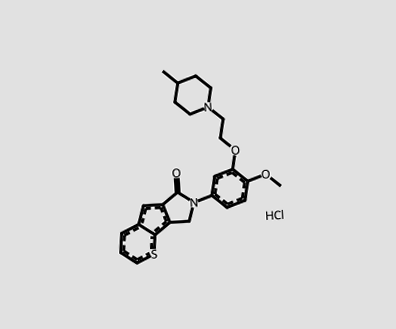 COc1ccc(N2Cc3c(cc4cccsc3-4)C2=O)cc1OCCN1CCC(C)CC1.Cl